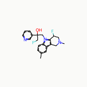 Cc1ccc2c(c1)c1c(n2CC(O)(CF)c2cccnc2)C(F)CN(C)C1